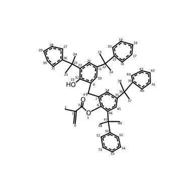 C=C(C)C(=O)Oc1c(Cc2cc(C(C)(C)c3ccccc3)cc(C(C)(C)c3ccccc3)c2O)cc(C(C)(C)c2ccccc2)cc1C(C)(C)c1ccccc1